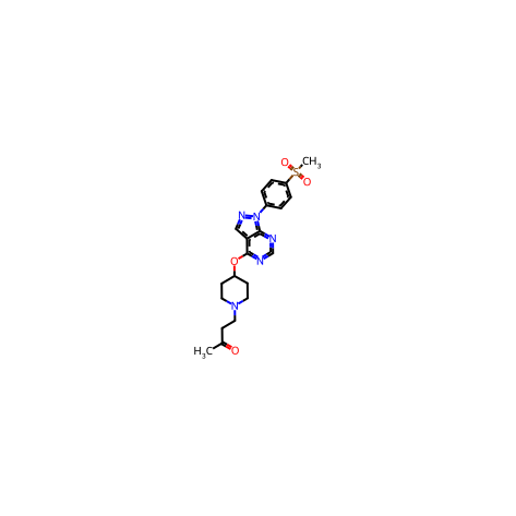 CC(=O)CCN1CCC(Oc2ncnc3c2cnn3-c2ccc(S(C)(=O)=O)cc2)CC1